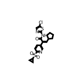 O=C(Nc1ncc(Cl)s1)C(=CC1CCCC1)c1ccc(S(=O)(=O)C2CC2)nc1